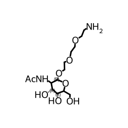 CC(=O)NC1[C@H](OCCOCCOCCN)OC(CO)[C@H](O)[C@@H]1O